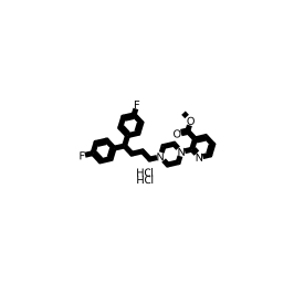 COC(=O)c1cccnc1N1CCN(CCCC(c2ccc(F)cc2)c2ccc(F)cc2)CC1.Cl.Cl